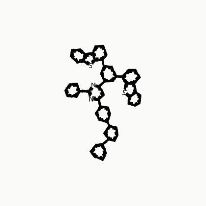 c1ccc(-c2cccc(-c3ccc(-c4cc(-c5cc(-c6cccc7c6sc6ccccc67)cc(-c6cccc7c6sc6ccccc67)c5)nc(-c5ccccc5)n4)cc3)c2)cc1